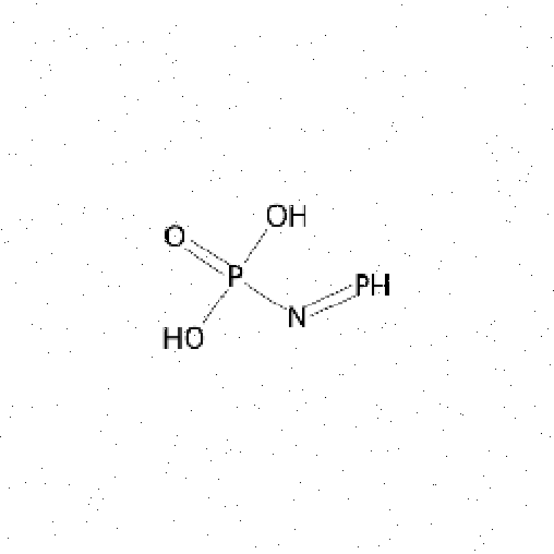 O=P(O)(O)N=P